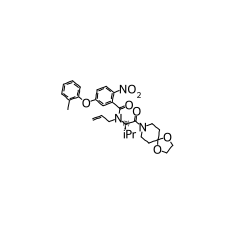 C=CCN(C(=O)c1cc(Oc2ccccc2C)ccc1[N+](=O)[O-])[C@@H](C(=O)N1CCC2(CC1)OCCO2)C(C)C